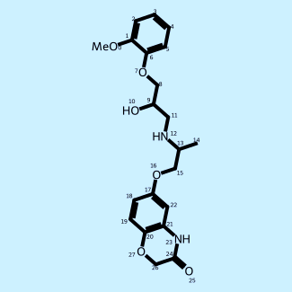 COc1ccccc1OCC(O)CNC(C)COc1ccc2c(c1)NC(=O)CO2